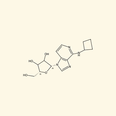 OC[C@H]1O[C@@H](n2cnc3c(NC4CCC4)nccc32)C(O)C1O